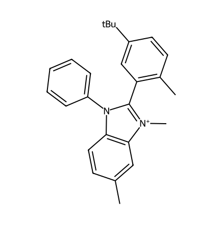 Cc1ccc2c(c1)[n+](C)c(-c1cc(C(C)(C)C)ccc1C)n2-c1ccccc1